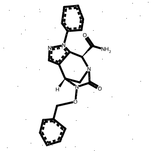 NC(=O)[C@@H]1c2c(cnn2-c2ccccc2)[C@@H]2CN1C(=O)N2OCc1ccccc1